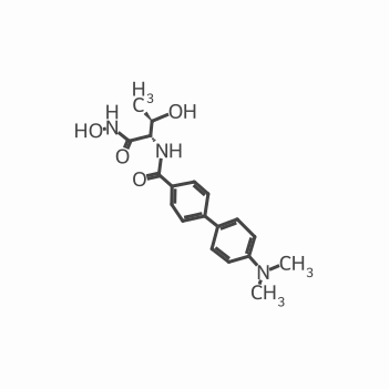 C[C@@H](O)[C@H](NC(=O)c1ccc(-c2ccc(N(C)C)cc2)cc1)C(=O)NO